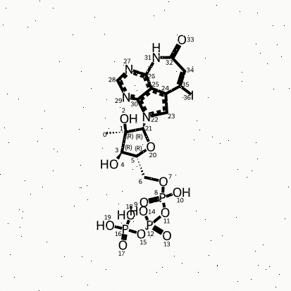 C[C@@]1(O)[C@H](O)[C@@H](COP(=O)(O)OP(=O)(O)OP(=O)(O)O)O[C@H]1n1cc2c3c(ncnc31)NC(=O)C=C2I